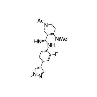 CNC1=C(C(=N)NC2=CCC(c3cnn(C)c3)C=C2F)CN(C(C)=O)CC1